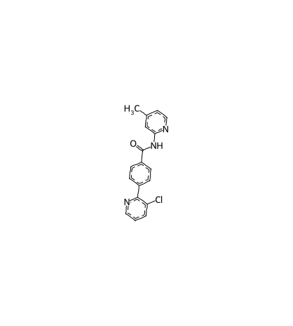 Cc1ccnc(NC(=O)c2ccc(-c3ncccc3Cl)cc2)c1